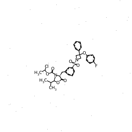 CC(Cl)OC(=O)N1C(C(C)C)OC(=O)[C@@H]1Cc1cccc(S(=O)(=O)N2CC(Oc3ccc(F)cc3)(c3ccccc3)C2)c1